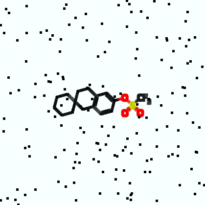 O=S(=O)(Oc1ccc2c(c1)CCC1(CCCCC1)C2)C(F)(F)F